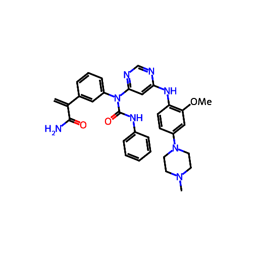 C=C(C(N)=O)c1cccc(N(C(=O)Nc2ccccc2)c2cc(Nc3ccc(N4CCN(C)CC4)cc3OC)ncn2)c1